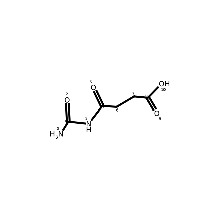 NC(=O)NC(=O)CCC(=O)O